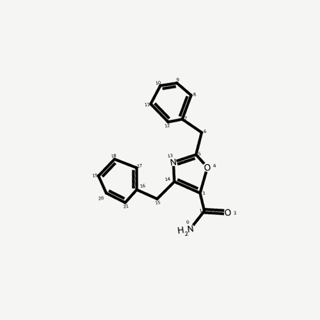 NC(=O)c1oc(Cc2ccccc2)nc1Cc1ccccc1